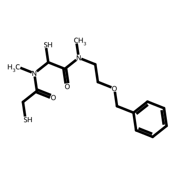 CN(CCOCc1ccccc1)C(=O)C(S)N(C)C(=O)CS